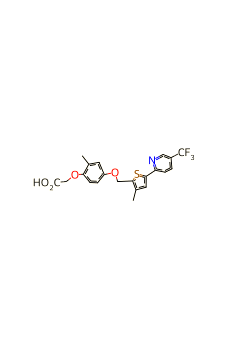 Cc1cc(OCc2sc(-c3ccc(C(F)(F)F)cn3)cc2C)ccc1OCC(=O)O